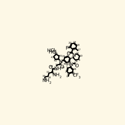 Cc1ccc(NC(=O)[C@H]2CCCN(C(=O)c3c(C)cccc3F)[C@H]2c2ccc(N(C(=O)CNC(=O)C(N)CCCN)C3CCCC3)cc2)cc1C(F)(F)F.Cl.Cl